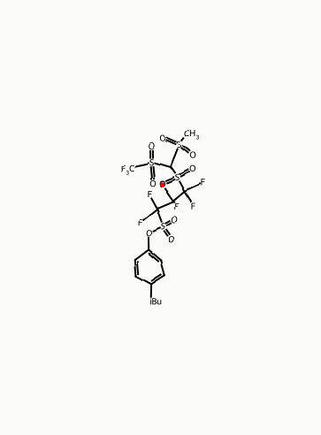 CCC(C)c1ccc(OS(=O)(=O)C(F)(F)C(F)(F)C(F)(F)S(=O)(=O)C(S(C)(=O)=O)S(=O)(=O)C(F)(F)F)cc1